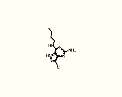 CCCCNc1nc(N)nc2c(Cl)n[nH]c12